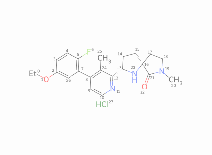 CCOc1ccc(F)c(-c2ccnc([C@@H]3CC[C@@]4(CCN(C)C4=O)N3)c2C)c1.Cl